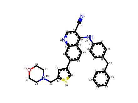 N#Cc1cnc2cc(-c3csc(CN4CCOCC4)c3)ccc2c1Nc1ccc(Cc2ccccc2)cc1